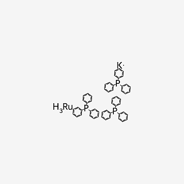 [K].[RuH3].c1ccc(P(c2ccccc2)c2ccccc2)cc1.c1ccc(P(c2ccccc2)c2ccccc2)cc1.c1ccc(P(c2ccccc2)c2ccccc2)cc1